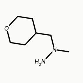 CN(N)CC1CCOCC1